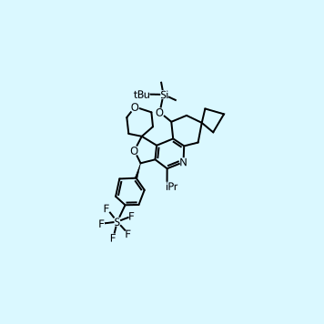 CC(C)c1nc2c(c3c1[C@@H](c1ccc(S(F)(F)(F)(F)F)cc1)OC31CCOCC1)C(O[Si](C)(C)C(C)(C)C)CC1(CCC1)C2